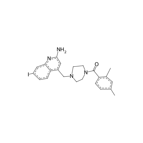 Cc1ccc(C(=O)N2CCN(Cc3cc(N)nc4cc(I)ccc34)CC2)c(C)c1